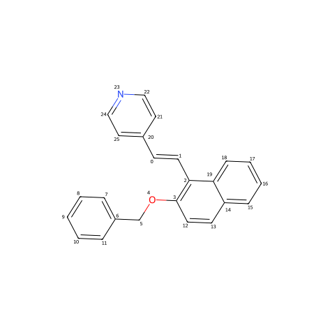 C(=Cc1c(OCc2ccccc2)ccc2ccccc12)c1ccncc1